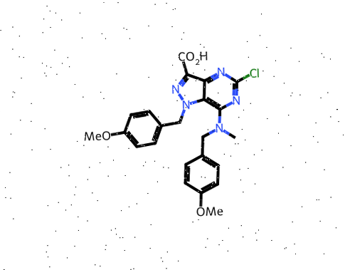 COc1ccc(CN(C)c2nc(Cl)nc3c(C(=O)O)nn(Cc4ccc(OC)cc4)c23)cc1